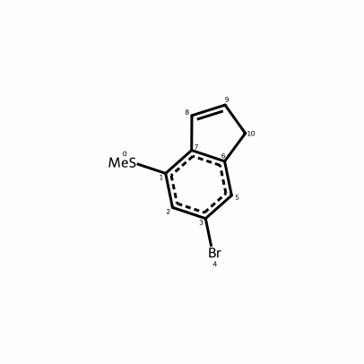 CSc1cc(Br)cc2c1C=CC2